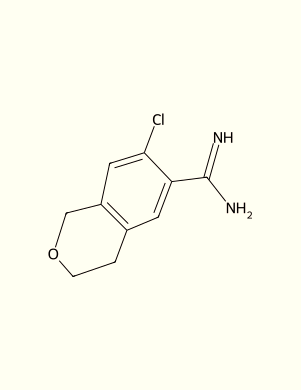 N=C(N)c1cc2c(cc1Cl)COCC2